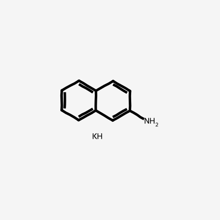 Nc1ccc2ccccc2c1.[KH]